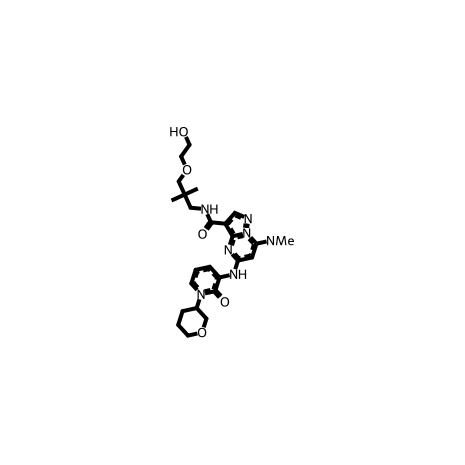 CNc1cc(Nc2cccn(C3CCCOC3)c2=O)nc2c(C(=O)NCC(C)(C)COCCO)cnn12